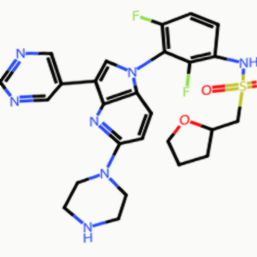 O=S(=O)(CC1CCCO1)Nc1ccc(F)c(-n2cc(-c3cncnc3)c3nc(N4CCNCC4)ccc32)c1F